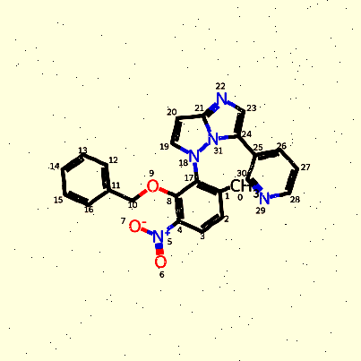 Cc1ccc([N+](=O)[O-])c(OCc2ccccc2)c1-n1ccc2ncc(-c3cccnc3)n21